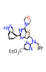 CCOC(=O)c1cnc(N(Cc2cc3nc(-c4cccc5[nH]ncc45)nc(N4CCOCC4)c3s2)CC(C)C)nc1